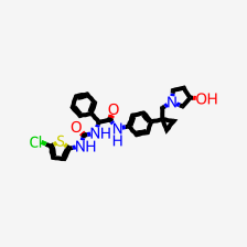 O=C(Nc1ccc(Cl)s1)NC(C(=O)Nc1ccc(C2(CN3CCC(O)C3)CC2)cc1)c1ccccc1